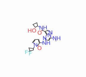 CNc1cc(Nc2cccn(C3CC(F)(F)C3)c2=O)nc2c(C(=O)N[C@@H]3CC[C@H]3O)cnn12